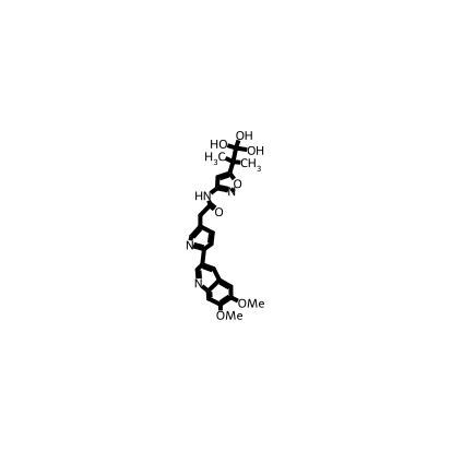 COc1cc2cc(-c3ccc(CC(=O)Nc4cc(C(C)(C)C(O)(O)O)on4)cn3)cnc2cc1OC